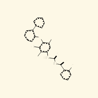 Cc1cc(NC(=S)NC(=O)c2ccccc2F)c(C)c(Cl)c1Oc1ccccc1-c1ccccc1